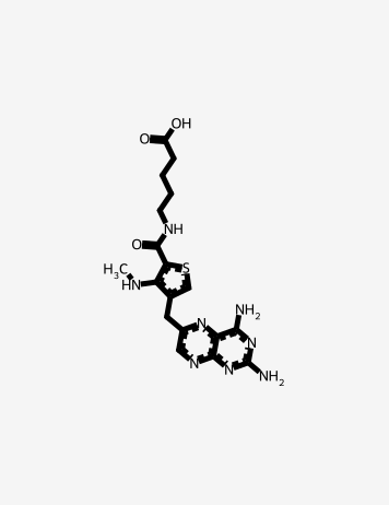 CNc1c(Cc2cnc3nc(N)nc(N)c3n2)csc1C(=O)NCCCCC(=O)O